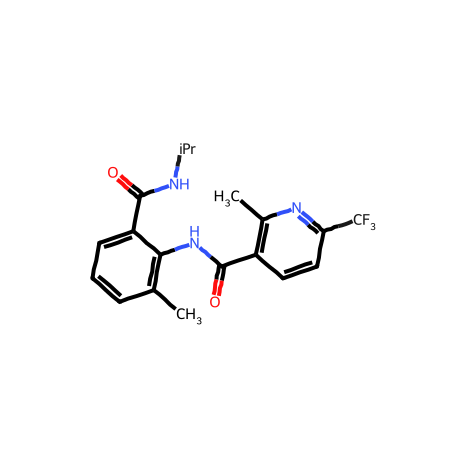 Cc1cccc(C(=O)NC(C)C)c1NC(=O)c1ccc(C(F)(F)F)nc1C